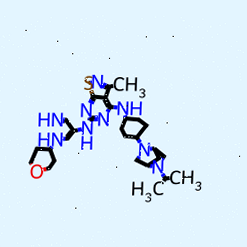 Cc1nsc2nc(N/C(C=N)=C/NC3CCOCC3)nc(NC3CCC(N4CC5CC4CN5C(C)C)CC3)c12